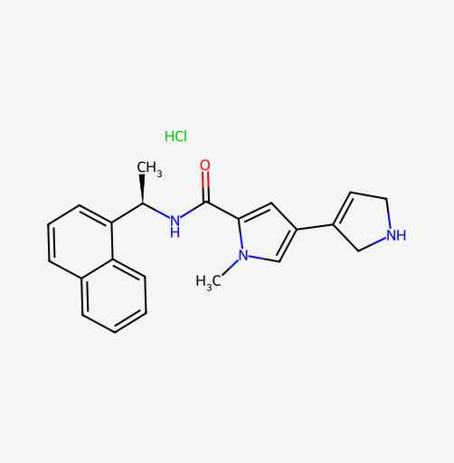 C[C@@H](NC(=O)c1cc(C2=CCNC2)cn1C)c1cccc2ccccc12.Cl